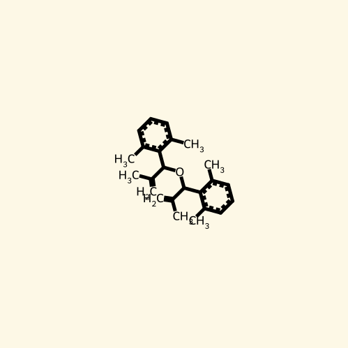 C=C(C)C(OC(C(=C)C)c1c(C)cccc1C)c1c(C)cccc1C